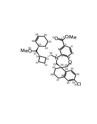 COC(=O)c1ccc2c(c1)N(C[C@@H]1CC[C@H]1C(OC)[C@H]1C=CCCC1)C[C@@]1(CCCc3cc(Cl)ccc31)CO2